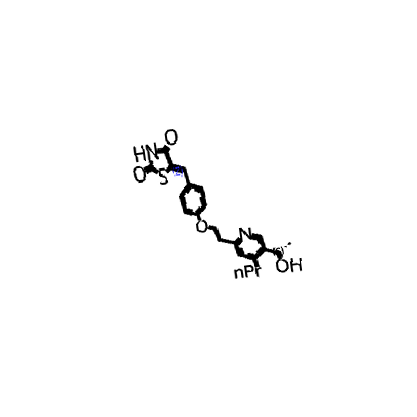 CCCc1cc(CCOc2ccc(/C=C3\SC(=O)NC3=O)cc2)ncc1[C@H](C)O